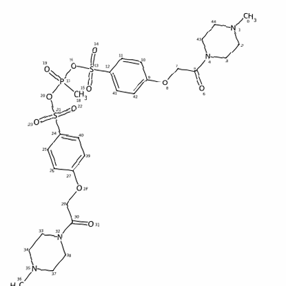 CN1CCN(C(=O)COc2ccc(S(=O)(=O)OP(C)(=O)OS(=O)(=O)c3ccc(OCC(=O)N4CCN(C)CC4)cc3)cc2)CC1